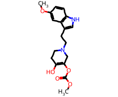 COC(=O)OC1=C(O)CCN(CCc2c[nH]c3ccc(OC)cc23)C1